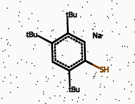 CC(C)(C)c1cc(C(C)(C)C)c(C(C)(C)C)cc1S.[Na]